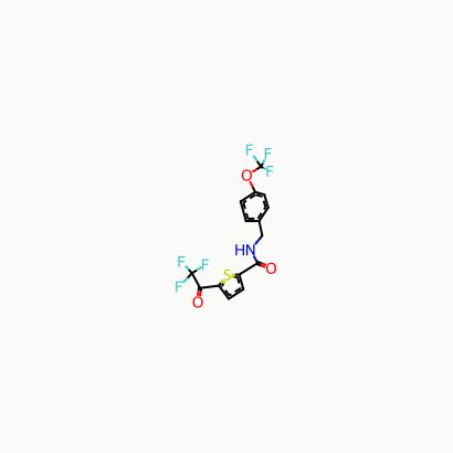 O=C(NCc1ccc(OC(F)(F)F)cc1)c1ccc(C(=O)C(F)(F)F)s1